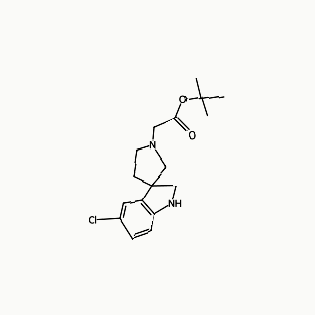 CC(C)(C)OC(=O)CN1CCC2(CNc3ccc(Cl)cc32)C1